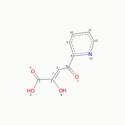 O=C(O)/C(O)=C/C(=O)c1ccccn1